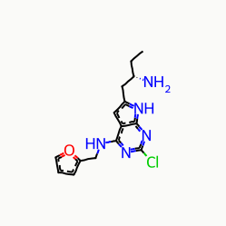 CC[C@H](N)Cc1cc2c(NCc3ccco3)nc(Cl)nc2[nH]1